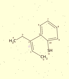 C/C=C(/CC)c1ccccc1S